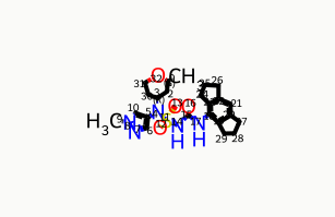 C[C@H]1C[C@H](N(c2cnn(C)c2)S(=O)(=O)NC(=O)Nc2c3c(cc4c2CCC4)CCC3)CCO1